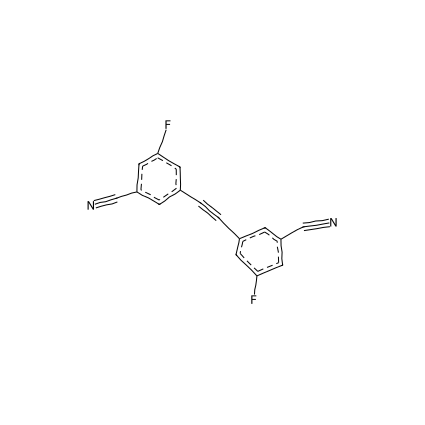 N#Cc1cc(F)cc(C#Cc2cc(F)cc(C#N)c2)c1